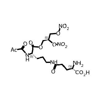 CC(=O)C(=O)N[C@@H](CCCNC(=O)CC[C@H](N)C(=O)O)C(=O)OC[C@@H](CO[N+](=O)[O-])O[N+](=O)[O-]